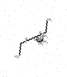 CCCCCCCC/C=C\CCOC(=O)CCCCC(CCCCC(=O)OC/C=C\CCCCCCCC)OC(=O)CC(C)(C)CC(C)(C)CN(C)C